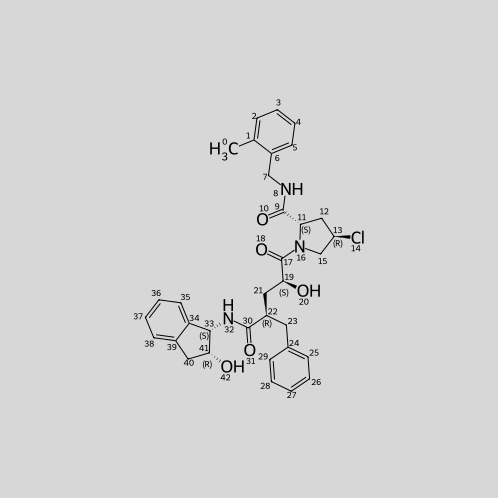 Cc1ccccc1CNC(=O)[C@@H]1C[C@@H](Cl)CN1C(=O)[C@@H](O)C[C@@H](Cc1ccccc1)C(=O)N[C@H]1c2ccccc2C[C@H]1O